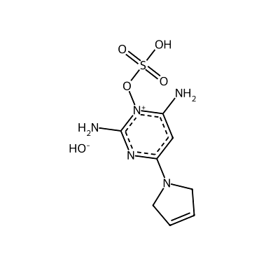 Nc1cc(N2CC=CC2)nc(N)[n+]1OS(=O)(=O)O.[OH-]